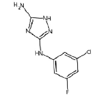 Nc1nc(Nc2cc(F)cc(Cl)c2)n[nH]1